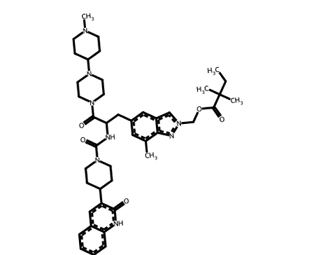 CCC(C)(C)C(=O)OCn1cc2cc(CC(NC(=O)N3CCC(c4cc5ccccc5[nH]c4=O)CC3)C(=O)N3CCN(C4CCN(C)CC4)CC3)cc(C)c2n1